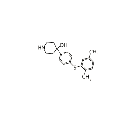 Cc1ccc(C)c(Sc2ccc(C3(O)CCNCC3)cc2)c1